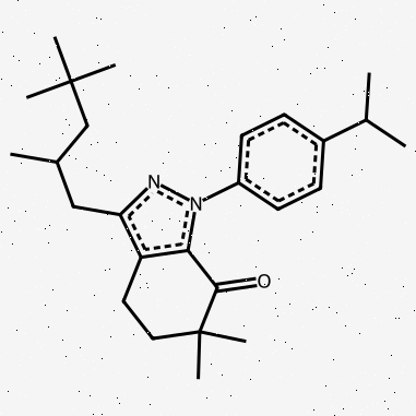 CC(Cc1nn(-c2ccc(C(C)C)cc2)c2c1CCC(C)(C)C2=O)CC(C)(C)C